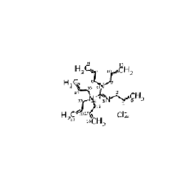 C=CC/N=C(\N(CC=C)CC=C)[N+](CC=C)(CC=C)CC=C.[Cl-]